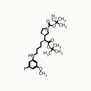 COc1cc(F)cc(NCCCC[C@H](C(=O)OC(C)(C)C)[C@H]2CCN(C(=O)OC(C)(C)C)C2)c1